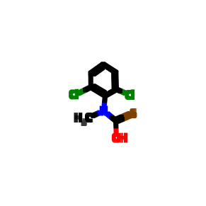 CN(C(O)=S)c1c(Cl)cccc1Cl